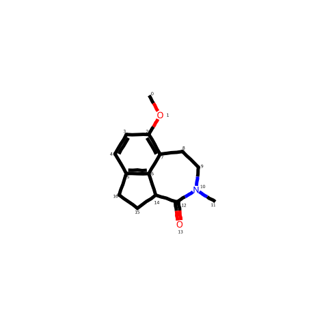 COc1ccc2c3c1CCN(C)C(=O)C3CC2